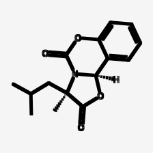 CC(C)C[C@]1(C)C(=O)O[C@@H]2c3ccccc3OC(=O)N21